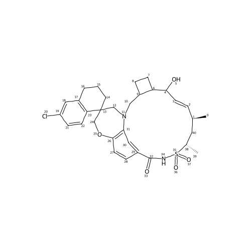 C[C@@H]1/C=C/C(O)C2CCC2CN2CC3(CCCc4cc(Cl)ccc43)COc3ccc(cc32)C(=O)NS(=O)(=O)[C@@H](C)C1